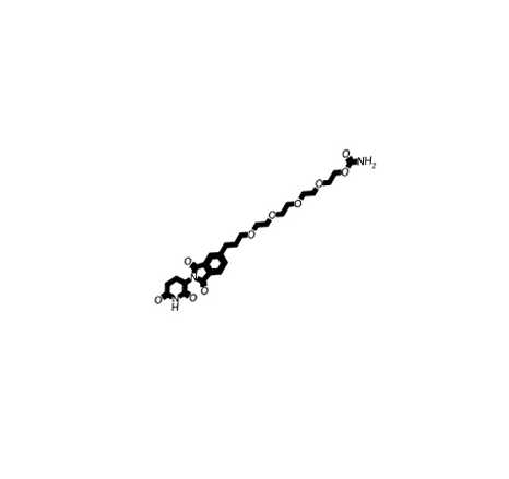 NC(=O)OCCOCCOCCOCCOCCCc1ccc2c(c1)C(=O)N(C1CCC(=O)NC1=O)C2=O